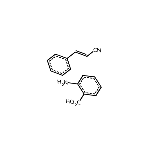 N#CC=Cc1ccccc1.Nc1ccccc1C(=O)O